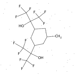 CC1CC(C(O)(C(F)(F)F)C(F)(F)F)CC(C(O)(C(F)(F)F)C(F)(F)F)C1